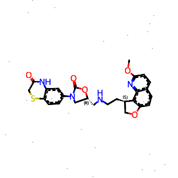 COc1ccc2ccc3c(c2n1)[C@H](CCNC[C@@H]1CN(c2ccc4c(c2)NC(=O)CS4)C(=O)O1)CO3